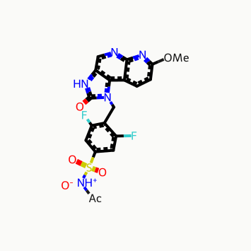 COc1ccc2c(ncc3[nH]c(=O)n(Cc4c(F)cc(S(=O)(=O)[NH+]([O-])C(C)=O)cc4F)c32)n1